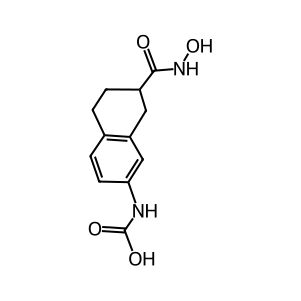 O=C(O)Nc1ccc2c(c1)CC(C(=O)NO)CC2